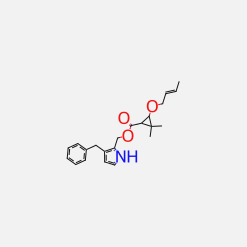 CC=CCOC1C(C(=O)OCc2[nH]ccc2Cc2ccccc2)C1(C)C